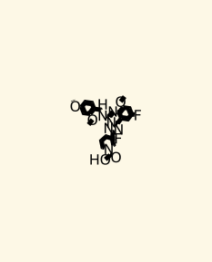 COc1ccc(CNc2nc3c(OC)cc(F)cc3c3nc(C4(F)CCCN(C(=O)O)C4)nn23)c(OC)c1